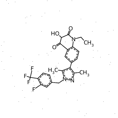 CCN1C(=O)C(O)C(=O)c2cc(-c3c(C)nn(Cc4ccc(C(F)(F)F)c(F)c4)c3C)ccc21